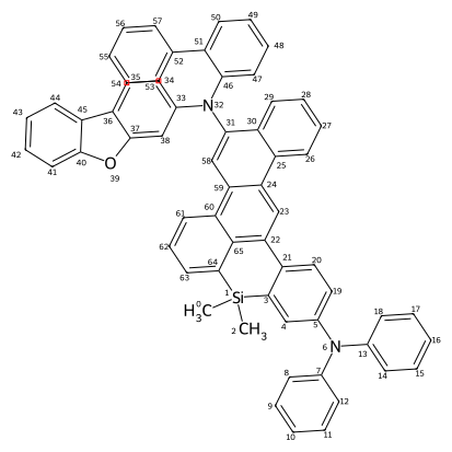 C[Si]1(C)c2cc(N(c3ccccc3)c3ccccc3)ccc2-c2cc3c4ccccc4c(N(c4ccc5c(c4)oc4ccccc45)c4ccccc4-c4ccccc4)cc3c3cccc1c23